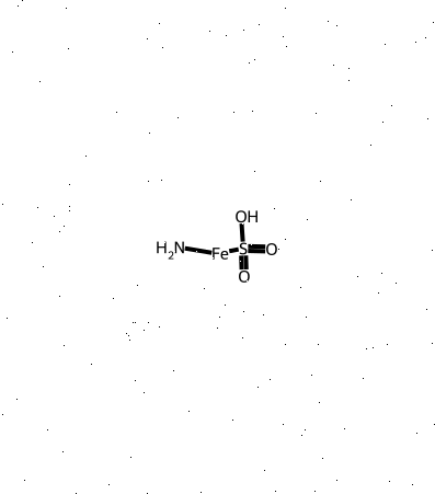 [NH2][Fe][S](=O)(=O)O